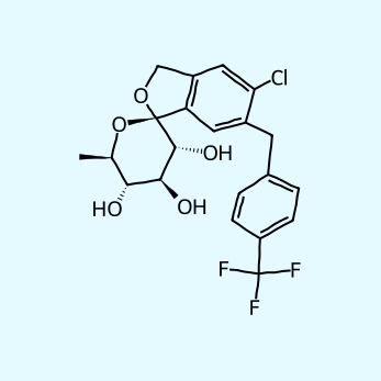 C[C@H]1O[C@]2(OCc3cc(Cl)c(Cc4ccc(C(F)(F)F)cc4)cc32)[C@H](O)[C@@H](O)[C@@H]1O